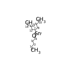 CCCCC[O][Sn][CH](CCCC)CCCC